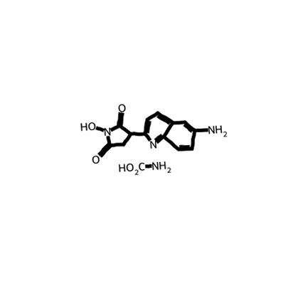 NC(=O)O.Nc1ccc2nc(C3CC(=O)N(O)C3=O)ccc2c1